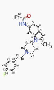 Cc1cc2ccc(NC(=O)C(C)C)cc2n1C1CCN(CCc2ccc(F)cc2)CC1